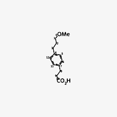 COCCCc1ccc(CCC(=O)O)cc1